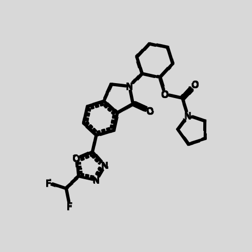 O=C(OC1CCCCC1N1Cc2ccc(-c3nnc(C(F)F)o3)cc2C1=O)N1CCCC1